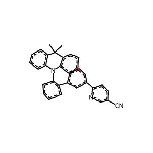 CC1(C)c2ccccc2N(c2ccccc2-c2cccc(-c3ccc(C#N)cn3)c2)c2ccccc21